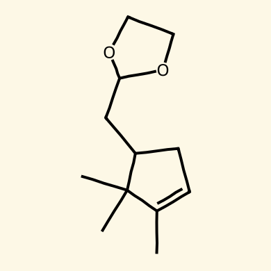 CC1=CCC(CC2OCCO2)C1(C)C